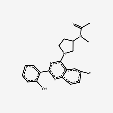 CC(=O)N(C)C1CCN(c2nc(-c3ccccc3O)nc3ccc(F)cc23)C1